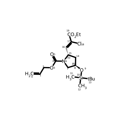 C=CCOC(=O)N1C[C@H](O[Si](C)(C)C(C)(C)C)C[C@H]1C=C(Cl)C(=O)OCC